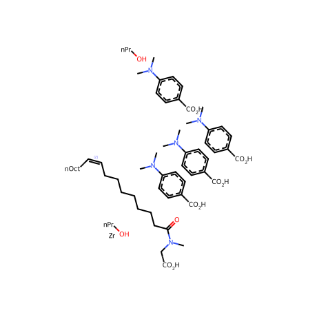 CCCCCCCC/C=C\CCCCCCCC(=O)N(C)CC(=O)O.CCCO.CCCO.CN(C)c1ccc(C(=O)O)cc1.CN(C)c1ccc(C(=O)O)cc1.CN(C)c1ccc(C(=O)O)cc1.CN(C)c1ccc(C(=O)O)cc1.[Zr]